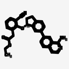 CCOC(=O)Cc1cccc(C#N)c1O[C@@H]1CCc2ccc(-c3ccc4ccnc(N)c4c3)cc21